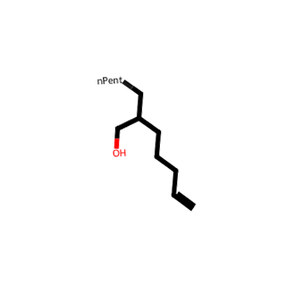 C=CCCCC(CO)CCCCCC